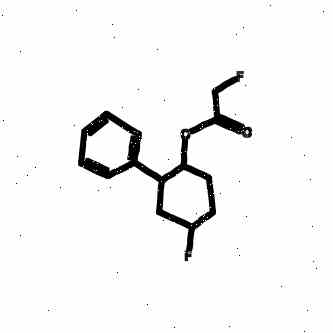 O=C(CF)OC1CCC(F)CC1c1ccccc1